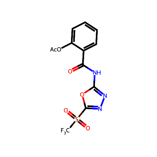 CC(=O)Oc1ccccc1C(=O)Nc1nnc(S(=O)(=O)C(F)(F)F)o1